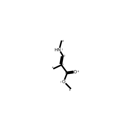 CN/C=C(\C)C(=O)OC